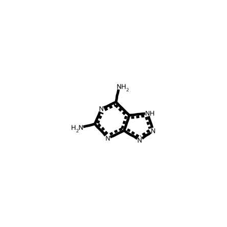 Nc1nc(N)c2[nH]nnc2n1